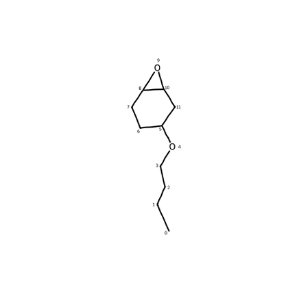 CCCCOC1CCC2OC2C1